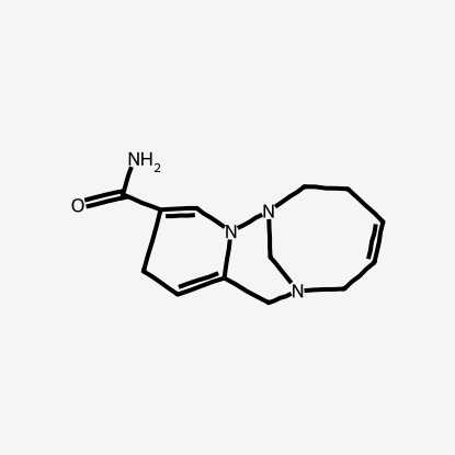 NC(=O)C1=CN2C(=CC1)CN1CC=CCCN2C1